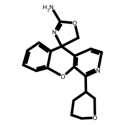 NC1=NC2(CO1)c1ccccc1Oc1c2ccnc1C1CCCOC1